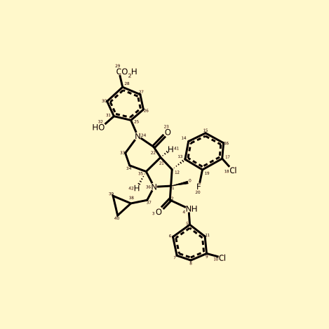 C[C@]1(C(=O)Nc2cccc(Cl)c2)[C@@H](c2cccc(Cl)c2F)[C@@H]2C(=O)N(c3ccc(C(=O)O)cc3O)CC[C@@H]2N1CC1CC1